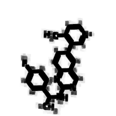 Cc1ccncc1-c1ccc2nc(NC(C)c3ccc(F)cc3)ncc2c1